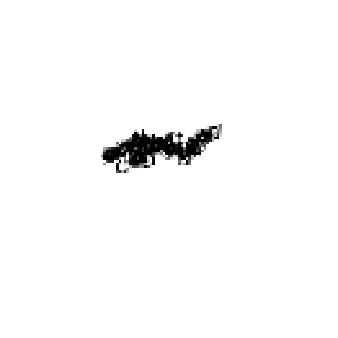 CCC1CN(c2cnc3cnn(C(C)c4ccc(Cl)cc4Cl)c3n2)CCC1N1CCCC(CC(c2ccc(Cl)cc2Cl)n2ncc3ncc(N4CCC(N5CCCCC5)C(C)C4)nc32)C1